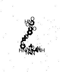 CC(C)Oc1c(-c2cn[nH]c2)ncc2nc(N[C@H]3CCN(CC4CC5(C4)CN(c4ccc6c(c4)CN(C4CCC(=O)NC4=O)C6=O)C5)C[C@H]3C)nn12